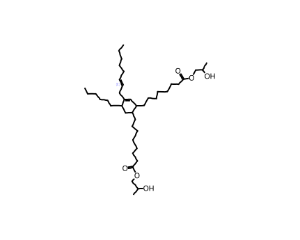 CCCCC/C=C/CC1=CC(CCCCCCCC(=O)OCC(C)O)C(CCCCCCCC(=O)OCC(C)O)CC1CCCCCC